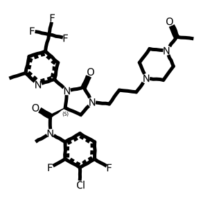 CC(=O)N1CCN(CCCN2C[C@@H](C(=O)N(C)c3ccc(F)c(Cl)c3F)N(c3cc(C(F)(F)F)cc(C)n3)C2=O)CC1